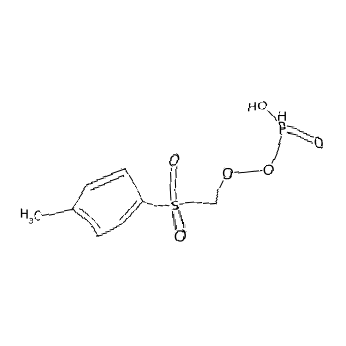 Cc1ccc(S(=O)(=O)COO[PH](=O)O)cc1